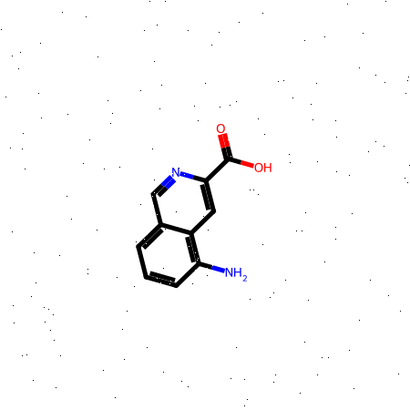 Nc1cccc2cnc(C(=O)O)cc12